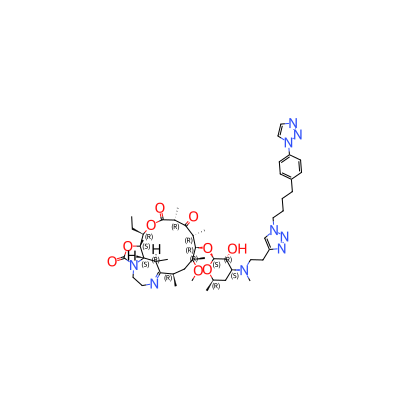 CC[C@H]1OC(=O)[C@H](C)C(=O)[C@H](C)[C@@H](O[C@@H]2O[C@H](C)C[C@H](N(C)CCc3cn(CCCCc4ccc(-n5ccnn5)cc4)nn3)[C@H]2O)[C@](C)(OC)C[C@@H](C)C2=NCCN3C(=O)O[C@@]1(C)[C@@H]3[C@H]2C